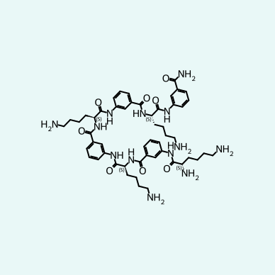 NCCCC[C@H](NC(=O)c1cccc(NC(=O)[C@H](CCCCN)NC(=O)c2cccc(NC(=O)[C@H](CCCCN)NC(=O)c3cccc(NC(=O)[C@@H](N)CCCCN)c3)c2)c1)C(=O)Nc1cccc(C(N)=O)c1